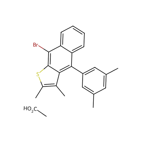 CC(=O)O.Cc1cc(C)cc(-c2c3ccccc3c(Br)c3sc(C)c(C)c23)c1